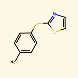 CC(=O)c1ccc(Sc2nccs2)cc1